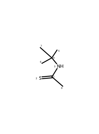 CC(=S)NC(C)(C)C